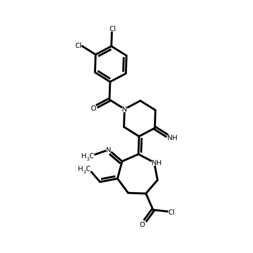 C/C=C1/CC(C(=O)Cl)CNC(=C2/CN(C(=O)c3ccc(Cl)c(Cl)c3)CCC2=N)/C1=N/C